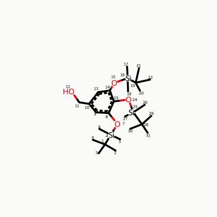 CC(C)(C)[Si](C)(C)Oc1cc(CO)cc(O[Si](C)(C)C(C)(C)C)c1O[Si](C)(C)C(C)(C)C